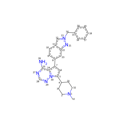 CN1CCC(c2cc(-c3ccc4cn(Cc5ccccc5)nc4c3)c3c(N)ncnn23)CC1